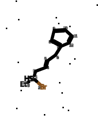 CC[SiH](Br)CC=CCc1ccccc1